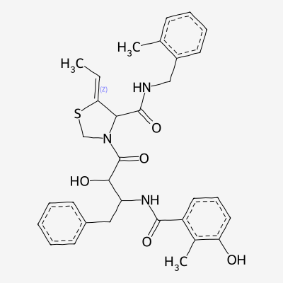 C/C=C1\SCN(C(=O)C(O)C(Cc2ccccc2)NC(=O)c2cccc(O)c2C)C1C(=O)NCc1ccccc1C